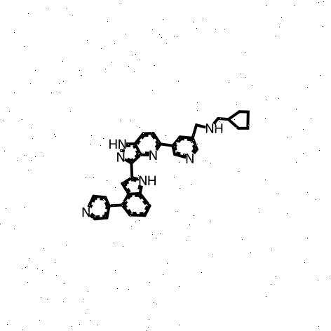 c1cc(-c2ccncc2)c2cc(-c3n[nH]c4ccc(-c5cncc(CNCC6CCCC6)c5)nc34)[nH]c2c1